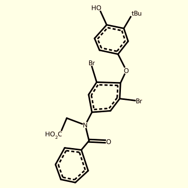 CC(C)(C)c1cc(Oc2c(Br)cc(N(CC(=O)O)C(=O)c3ccccc3)cc2Br)ccc1O